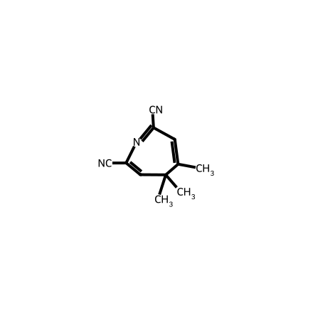 CC1=CC(C#N)=NC(C#N)=CC1(C)C